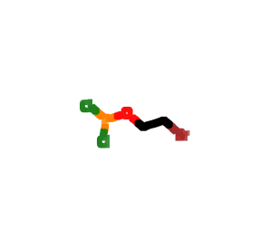 ClP(Cl)OCCBr